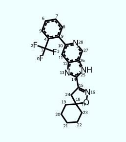 FC(F)(F)c1ccccc1-c1cc2nc(C3=NOC4(CCCCC4)C3)[nH]c2cn1